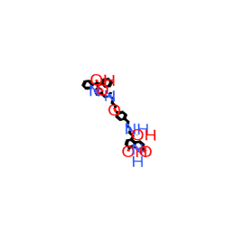 CN(CCCOc1ccc(CCNC[C@H](O)c2ccc(O)c3[nH]c(=O)ccc23)cc1)Cc1cnc(C(O)(c2ccccc2)c2ccccc2)o1